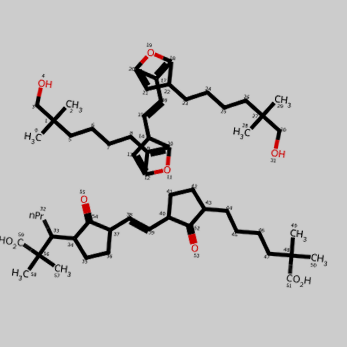 CC(C)(CO)CCCCC1=C2OC1=CC2C=CC1=C2OC1=CC2CCCCC(C)(C)CO.CCCC(C1CCC(C=CC2CCC(CCCCC(C)(C)C(=O)O)C2=O)C1=O)C(C)(C)C(=O)O